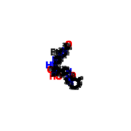 C=C1/C=C2/C(=O)N(c3nccc(-c4cc(Nc5ccc(N6CCN(C7COC7)C[C@@H]6CC)cn5)c(=O)n(C)c4)c3CO)CCN2CCCCC1